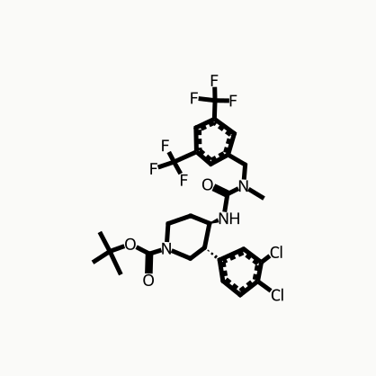 CN(Cc1cc(C(F)(F)F)cc(C(F)(F)F)c1)C(=O)N[C@@H]1CCN(C(=O)OC(C)(C)C)C[C@H]1c1ccc(Cl)c(Cl)c1